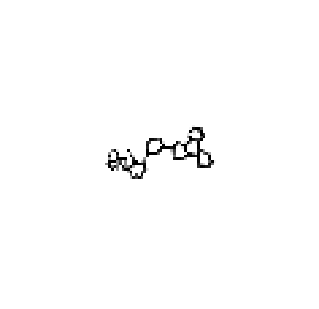 c1cc(-c2ccc3c4ccccc4c4ccccc4c3c2)cc(-c2cccc3c2nc2occn23)c1